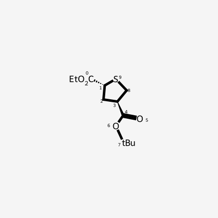 CCOC(=O)[C@H]1C[C@H](C(=O)OC(C)(C)C)CS1